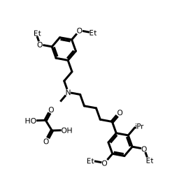 CCOc1cc(CCN(C)CCCCC(=O)c2cc(OCC)cc(OCC)c2C(C)C)cc(OCC)c1.O=C(O)C(=O)O